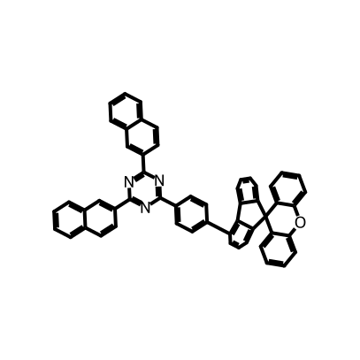 c1ccc2c(c1)Oc1ccccc1C21c2ccccc2-c2c(-c3ccc(-c4nc(-c5ccc6ccccc6c5)nc(-c5ccc6ccccc6c5)n4)cc3)cccc21